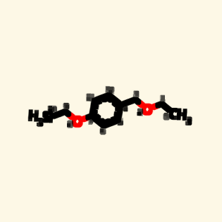 CCOCc1ccc(OC[SiH3])cc1